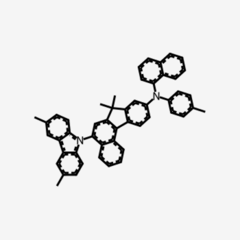 Cc1ccc(N(c2ccc3c(c2)C(C)(C)c2cc(-n4c5ccc(C)cc5c5cc(C)ccc54)c4ccccc4c2-3)c2cccc3ccccc23)cc1